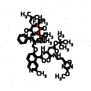 COc1noc(CCNC(=O)[C@H](CC(=O)OC(C)(C)C)NC(=O)c2c(OC[C@@H](Cc3ccccc3)NC(=O)[C@@H](CC(F)(F)F)N(C)C(=O)[C@H](CC(C)C)N(C)C(=O)OC(C)(C)C)ccc3cnc(C)cc23)n1